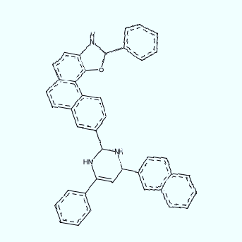 C1=C(c2ccccc2)NC(c2ccc3c(ccc4ccc5c(c43)OC(c3ccccc3)N5)c2)NC1c1ccc2ccccc2c1